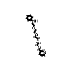 c1ccc(NCCOCCOCCOCCOCc2cccnc2)cc1